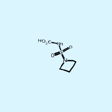 O=C(O)NS(=O)(=O)N1CCC1